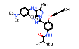 C#CC#COc1ccc(NC(=O)C(CC)CCCC)cc1-c1nnc2n1N=C(C(C)(C)C)/C2=N/c1ccc(N(CC)CC)cc1C